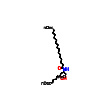 CCCCCCCCCCCCCCCCCCCCCCCCCC(=O)NC(COC)CC(O)CCCCCCCCCCCCCC